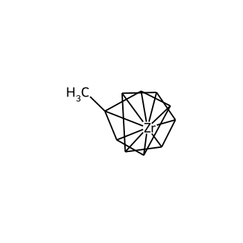 C[C]12[CH]3[CH]4[CH]5[CH]1[Zr]45321678[CH]2[CH]1[CH]6[CH]7[CH]28